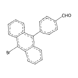 O=Cc1ccc(-c2c3ccccc3c(Br)c3ccccc23)cc1